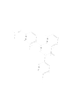 C/[N+]([O-])=C\c1ccc(-c2nn(-c3ccc(F)cc3)c(=O)c3ccccc23)c(F)c1